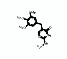 COc1cc(Cc2cnc(N[N+](=O)[O-])[nH]c2=O)cc(OC)c1OC